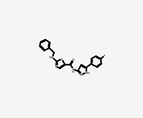 O=C(Nc1cc(-c2ccc(F)cc2)[nH]n1)c1cnc(NCc2ccccc2)s1